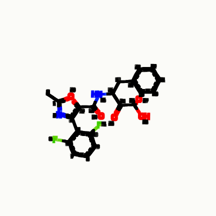 Cc1nc(-c2c(F)cccc2F)c(C(=O)NC(Cc2ccccc2)C(=O)C(=O)O)o1